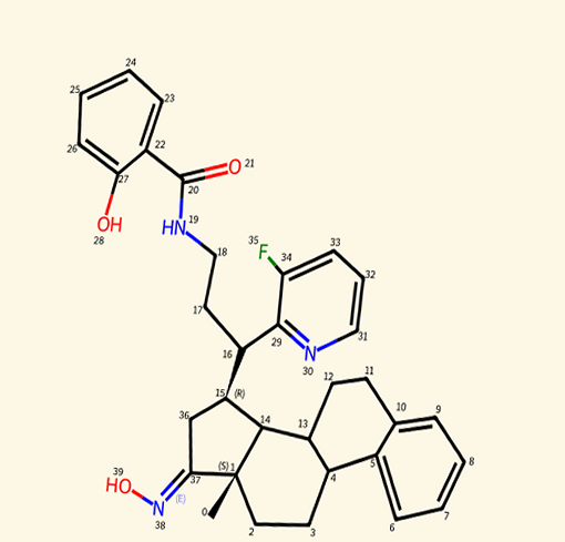 C[C@]12CCC3c4ccccc4CCC3C1[C@H](C(CCNC(=O)c1ccccc1O)c1ncccc1F)C/C2=N\O